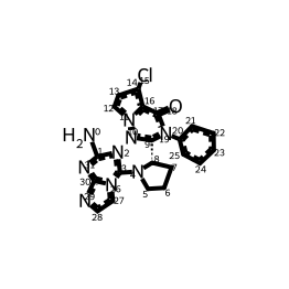 Nc1nc(N2CCC[C@H]2c2nn3ccc(Cl)c3c(=O)n2-c2ccccc2)n2ccnc2n1